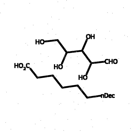 CCCCCCCCCCCCCCCC(=O)O.O=CC(O)C(O)C(O)CO